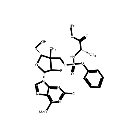 COc1nc(Cl)nc2c1ncn2[C@@H]1O[C@H](CO)C(C)(COP(=O)(N[C@@H](C)C(=O)OC(C)C)Oc2ccccc2)C1F